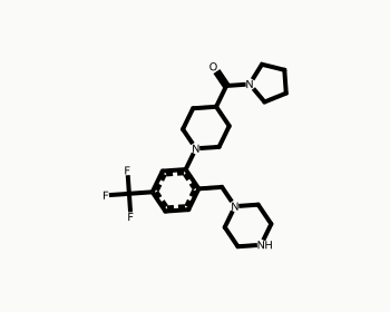 O=C(C1CCN(c2cc(C(F)(F)F)ccc2CN2CCNCC2)CC1)N1CCCC1